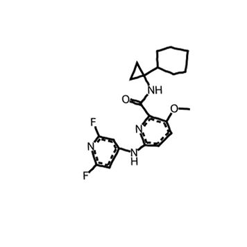 COc1ccc(Nc2cc(F)nc(F)c2)nc1C(=O)NC1(C2CCCCC2)CC1